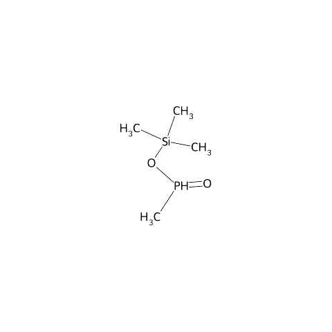 C[PH](=O)O[Si](C)(C)C